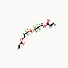 C=CC(=O)OCCC(F)(F)OOC(F)(F)C(F)(F)COC(=O)C=C